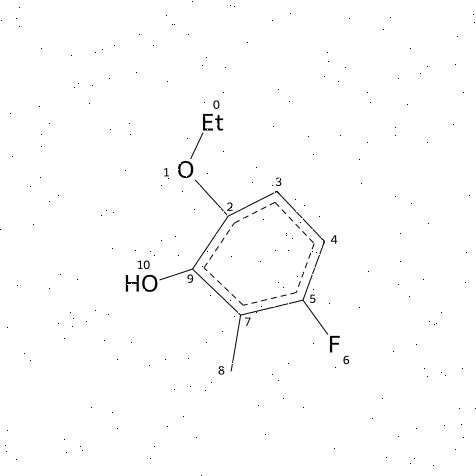 CCOc1ccc(F)c(C)c1O